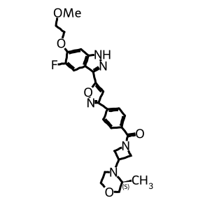 COCCOc1cc2[nH]nc(-c3cc(-c4ccc(C(=O)N5CC(N6CCOC[C@@H]6C)C5)cc4)no3)c2cc1F